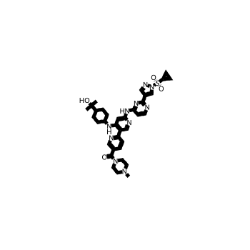 CN1CCN(C(=O)c2ccc(-c3cnc(Nc4ccnc(-c5cnn(S(=O)(=O)C6CC6)c5)n4)cc3NC3CCC(C(C)(C)O)CC3)nc2)CC1